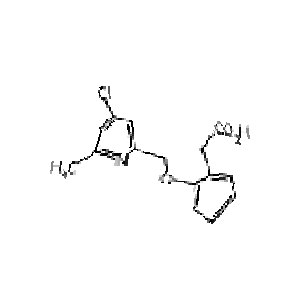 Cc1cc(Cl)cc(COc2ccccc2CC(=O)O)n1